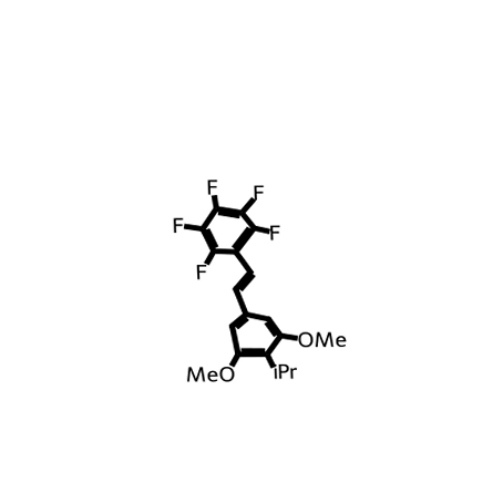 COc1cc(/C=C/c2c(F)c(F)c(F)c(F)c2F)cc(OC)c1C(C)C